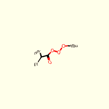 CCCC(CC)C(=O)OOOC(C)(C)C